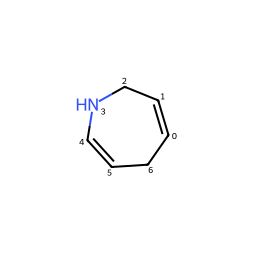 C1=CCNC=CC1